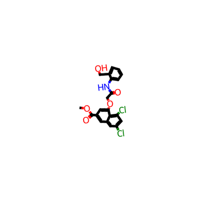 COC(=O)c1cc(OCC(=O)Nc2ccccc2CO)c2c(Cl)cc(Cl)cc2c1